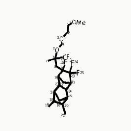 COCCOCOC(C)(CC1(F)C2CC(C3C4CC(C(C)C4C)C32)C1(F)F)C(F)(F)F